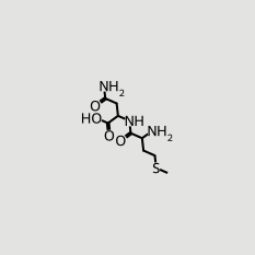 CSCCC(N)C(=O)NC(CC(N)=O)C(=O)O